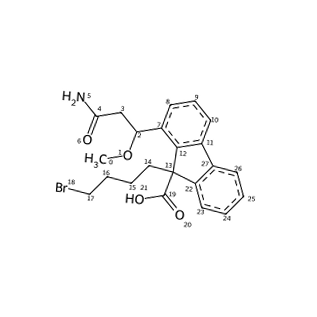 COC(CC(N)=O)c1cccc2c1C(CCCCBr)(C(=O)O)c1ccccc1-2